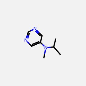 CC(C)N(C)c1cncnc1